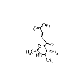 CC(=O)NC(C)C(C)SC(=O)CCC(=O)O